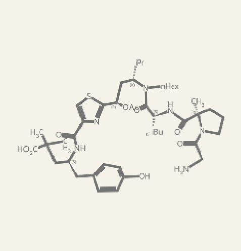 CCCCCCN(C(=O)[C@@H](NC(=O)[C@@]1(C)CCCN1C(=O)CN)[C@@H](C)CC)[C@H](C[C@@H](OC(C)=O)c1nc(C(=O)N[C@@H](Cc2ccc(O)cc2)CC(C)(C)C(=O)O)cs1)C(C)C